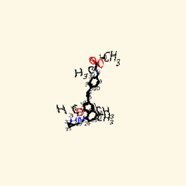 CCOC(=O)/C(C)=C/C1C=CC(C#Cc2cc(OC)c3c(c2)C(C)(C)CCC3NCC2CC2)=CC1